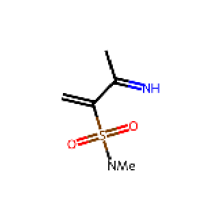 C=C(C(C)=N)S(=O)(=O)NC